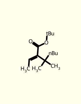 C/C=C(/C(=O)OC(C)(C)C)C(C)(C)CCCC